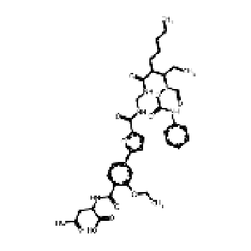 CCCCCC(C(=O)NCNC(=O)c1ccc(-c2ccc(C(=O)NC(CC(=O)O)C(=O)O)c(OCC)c2)o1)C(CC)N(C=O)OC(=O)Nc1ccccc1